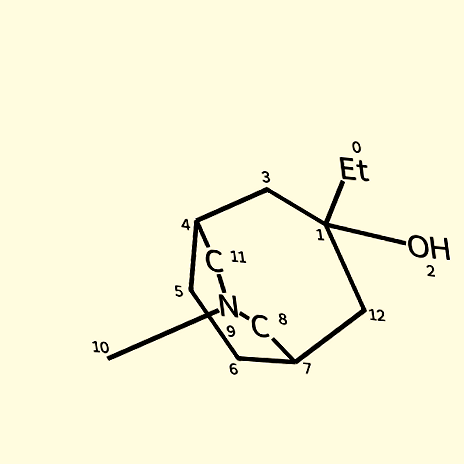 CCC1(O)CC2CCC(CN(C)C2)C1